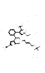 CCn1cc(-c2ccccc2C2CN(C(=O)/C=C/CNC(C)(C)C)Cc3sc(C#N)cc32)c(C(F)(F)F)n1